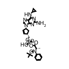 C[C@@H](C(=O)OP(=O)(O)OC[C@@H]1C=C[C@H](n2cnc3c(NC4CC4)nc(N)nc32)C1)N(OC(C)(C)C)c1ccccc1